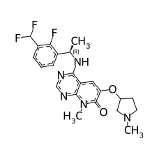 C[C@@H](Nc1ncnc2c1cc(OC1CCN(C)C1)c(=O)n2C)c1cccc(C(F)F)c1F